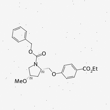 CCOC(=O)c1ccc(OC[C@@H]2C[C@H](OC)CN2C(=O)OCc2ccccc2)cc1